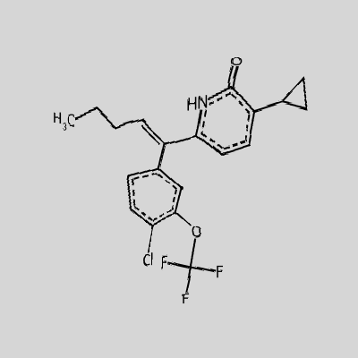 CCC/C=C(\c1ccc(Cl)c(OC(F)(F)F)c1)c1ccc(C2CC2)c(=O)[nH]1